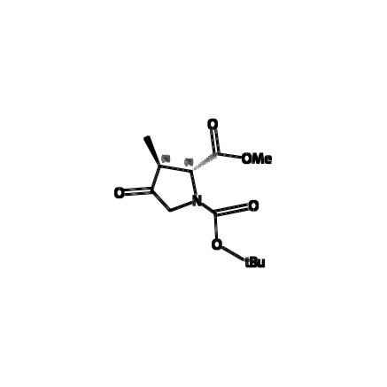 COC(=O)[C@H]1[C@H](C)C(=O)CN1C(=O)OC(C)(C)C